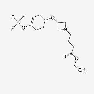 CCOC(=O)CCCN1CC(OC2CC=C(OC(F)(F)F)CC2)C1